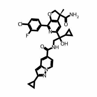 C[C@]1(C(N)=O)COc2c1cc(C(O)(CNC(=O)c1ccn3nc(C4CC4)cc3c1)C1CC1)nc2-c1ccc(Cl)c(F)c1